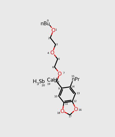 CCCCOCCOCCOCc1cc2c(cc1CCC)OCO2.[CaH2].[SbH3]